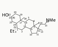 CC[C@H]1CC2C(CCC3(C)C2CCC3(C)CCNC)C2(C)CC[C@@H](O)CC12